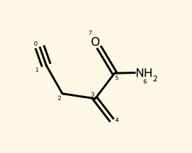 C#CCC(=C)C(N)=O